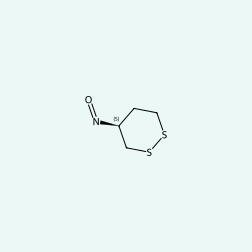 O=N[C@H]1CCSSC1